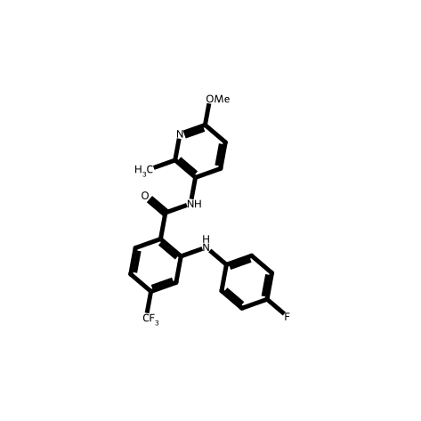 COc1ccc(NC(=O)c2ccc(C(F)(F)F)cc2Nc2ccc(F)cc2)c(C)n1